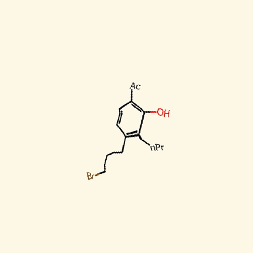 CCCc1c(CCCBr)ccc(C(C)=O)c1O